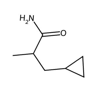 CC(CC1CC1)C(N)=O